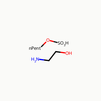 CCCCCOS(=O)(=O)O.NCCO